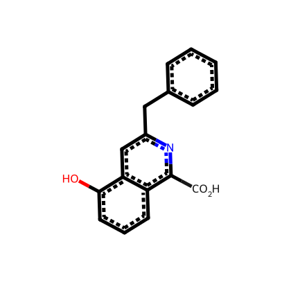 O=C(O)c1nc(Cc2ccccc2)cc2c(O)cccc12